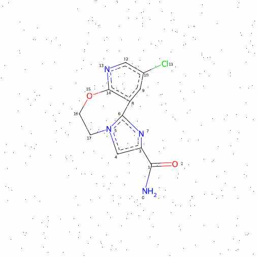 NC(=O)c1cn2c(n1)-c1cc(Cl)cnc1OCC2